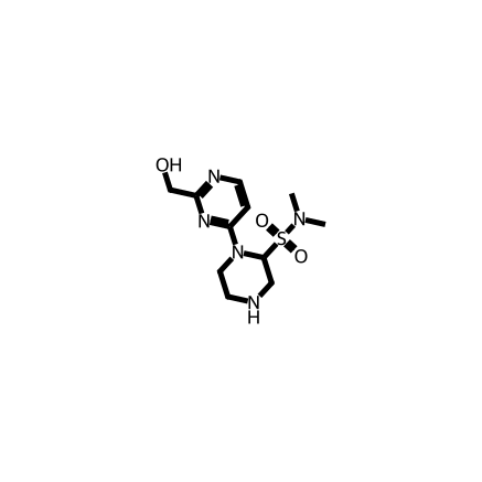 CN(C)S(=O)(=O)C1CNCCN1c1ccnc(CO)n1